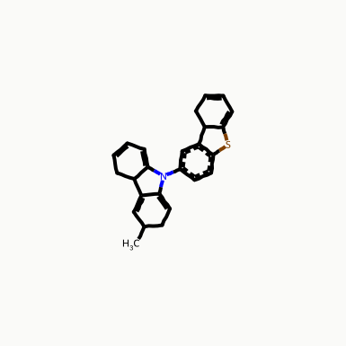 CC1C=C2C(=CC1)N(c1ccc3c(c1)C1CC=CC=C1S3)C1=CC=CCC21